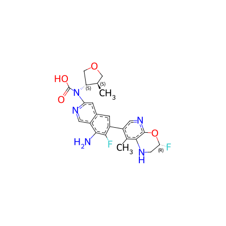 Cc1c(-c2cc3cc(N(C(=O)O)[C@@H]4COC[C@H]4C)ncc3c(N)c2F)cnc2c1NC[C@@H](F)O2